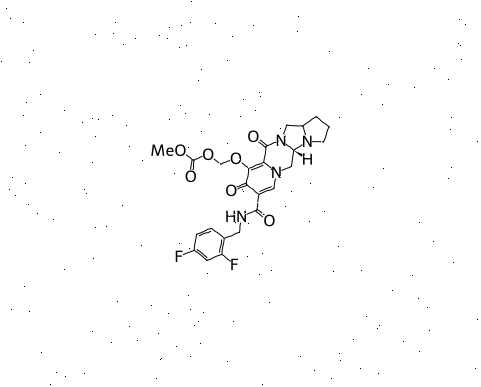 COC(=O)OCOc1c2n(cc(C(=O)NCc3ccc(F)cc3F)c1=O)C[C@@H]1N(CC3CCCN31)C2=O